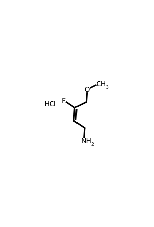 COC/C(F)=C\CN.Cl